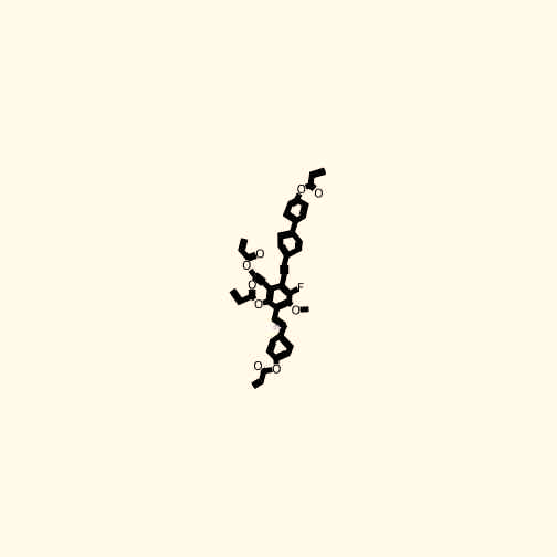 C=CC(=O)OC#Cc1c(C#Cc2ccc(-c3ccc(OC(=O)C=C)cc3)cc2)c(F)c(OC)c(/C=C/c2ccc(OC(=O)C=C)cc2)c1OC(=O)C=C